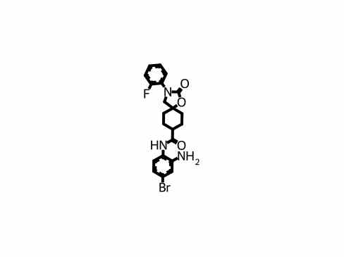 Nc1cc(Br)ccc1NC(=O)C1CCC2(CC1)CN(c1ccccc1F)C(=O)O2